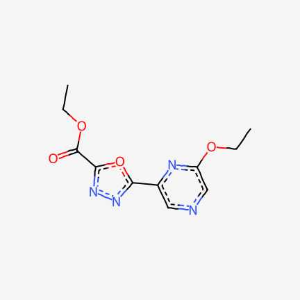 CCOC(=O)c1nnc(-c2cncc(OCC)n2)o1